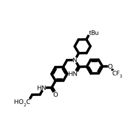 CC(C)(C)C1CCC(N(Cc2ccc(C(=O)NCCC(=O)O)cc2)C(=N)c2ccc(OC(F)(F)F)cc2)CC1